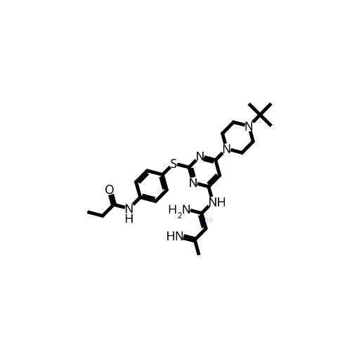 CCC(=O)Nc1ccc(Sc2nc(N/C(N)=C/C(C)=N)cc(N3CCN(C(C)(C)C)CC3)n2)cc1